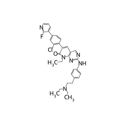 CCN(CC)CCc1ccc(Nc2ncc3cc(-c4ccc(-c5cccnc5F)cc4Cl)c(=O)n(CC)c3n2)cc1